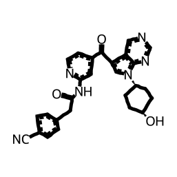 N#Cc1ccc(CC(=O)Nc2cc(C(=O)c3cn([C@H]4CC[C@@H](O)CC4)c4ncncc34)ccn2)cc1